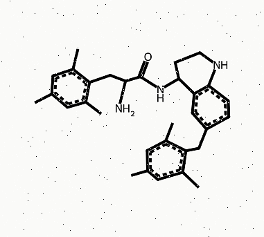 Cc1cc(C)c(Cc2ccc3c(c2)C(NC(=O)C(N)Cc2c(C)cc(C)cc2C)CCN3)c(C)c1